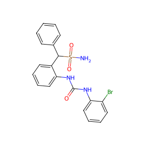 NS(=O)(=O)C(c1ccccc1)c1ccccc1NC(=O)Nc1ccccc1Br